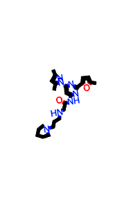 Cc1cc(C)n(-c2cc(NC(=O)CNCCCN3CCCCC3)nc(-c3ccc(C)o3)n2)n1